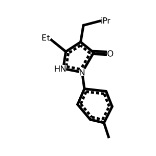 CCc1[nH]n(-c2ccc(C)cc2)c(=O)c1CC(C)C